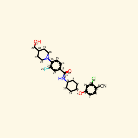 N#Cc1ccc(O[C@H]2CC[C@H](NC(=O)c3ccc(N4CCC(CO)CC4)c(F)c3)CC2)cc1Cl